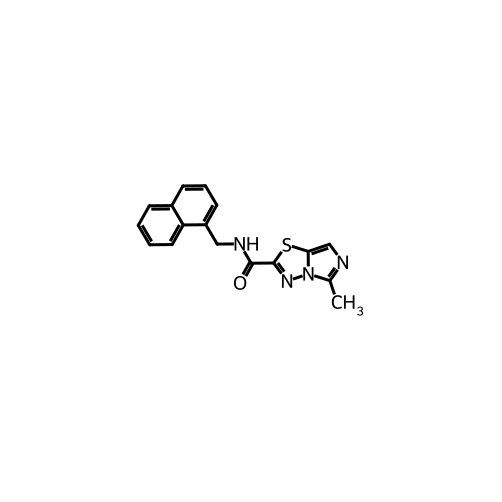 Cc1ncc2sc(C(=O)NCc3cccc4ccccc34)nn12